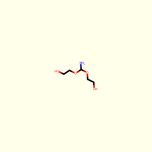 NC(OCCO)OCCO